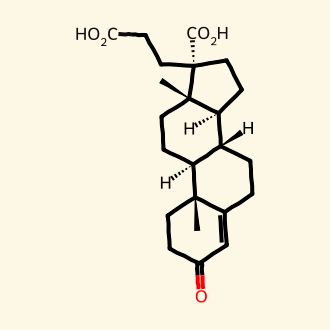 C[C@]12CCC(=O)C=C1CC[C@@H]1[C@@H]2CC[C@@]2(C)[C@H]1CC[C@@]2(CCC(=O)O)C(=O)O